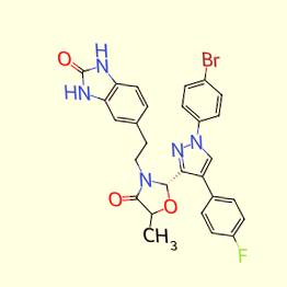 CC1O[C@@H](c2nn(-c3ccc(Br)cc3)cc2-c2ccc(F)cc2)N(CCc2ccc3[nH]c(=O)[nH]c3c2)C1=O